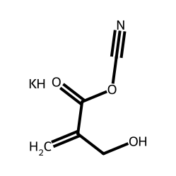 C=C(CO)C(=O)OC#N.[KH]